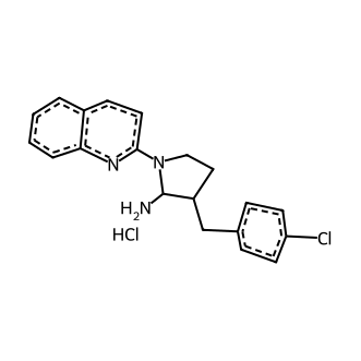 Cl.NC1C(Cc2ccc(Cl)cc2)CCN1c1ccc2ccccc2n1